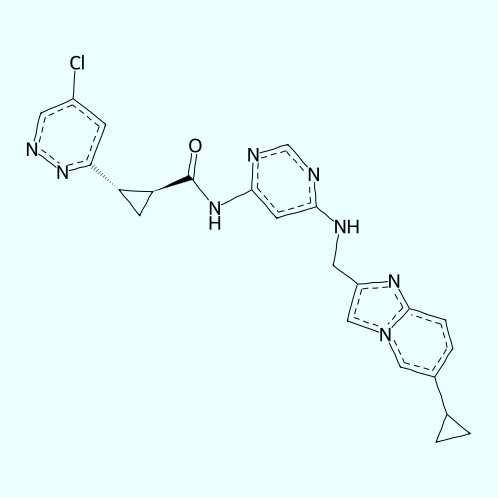 O=C(Nc1cc(NCc2cn3cc(C4CC4)ccc3n2)ncn1)[C@H]1C[C@@H]1c1cc(Cl)cnn1